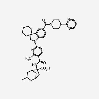 CC1CC2CC(C1)C(NC(=O)c1cnc(N3CC4(CCCCC4)c4cc(C(=O)N5CCN(c6ncccn6)CC5)ccc43)nc1C(F)(F)F)(C(=O)O)C2